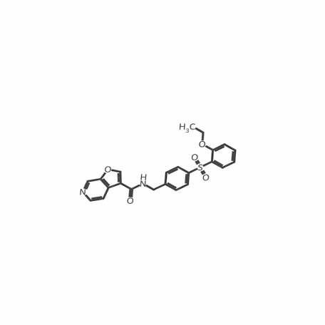 CCOc1ccccc1S(=O)(=O)c1ccc(CNC(=O)c2coc3cnccc23)cc1